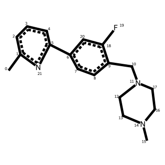 Cc1cccc(-c2ccc(CN3CCN(C)CC3)c(F)c2)n1